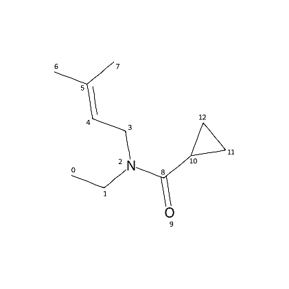 CCN(CC=C(C)C)C(=O)C1CC1